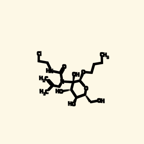 C=C(C)CN(C(=O)NCCCl)[C@@]1(O)[C@@H](OCCCC)O[C@H](CO)[C@@H](O)[C@@H]1O